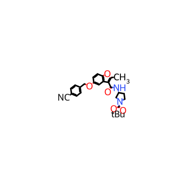 Cc1oc2ccc(OCc3ccc(C#N)cc3)cc2c1C(=O)N[C@@H]1CCN(C(=O)OC(C)(C)C)C1